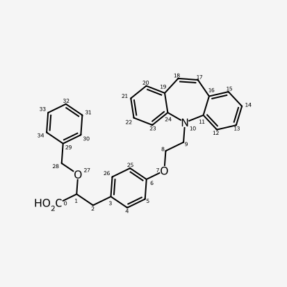 O=C(O)C(Cc1ccc(OCCN2c3ccccc3C=Cc3ccccc32)cc1)OCc1ccccc1